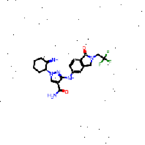 N=C1CCCC[C@@H]1n1cc(C(N)=O)c(Nc2ccc3c(c2)CN(CC(F)(F)F)C3=O)n1